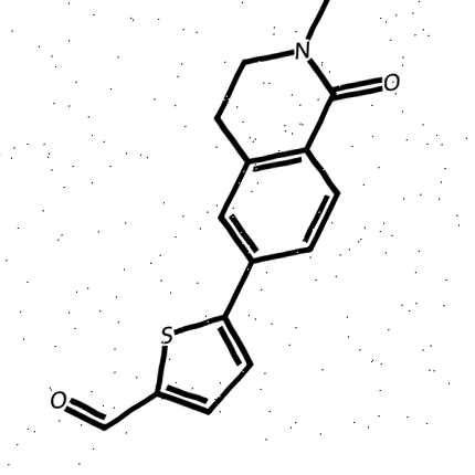 CN1CCc2cc(-c3ccc(C=O)s3)ccc2C1=O